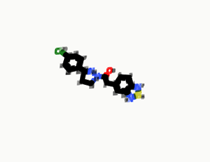 O=C(Cc1ccc2nsnc2c1)N1CCC(c2ccc(Cl)cc2)=N1